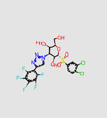 O=S(=O)(c1ccc(Cl)c(Cl)c1)[C@H]1OC(CO)[C@H](O)[C@H](n2cc(-c3c(F)c(F)c(F)c(F)c3F)nn2)C1O